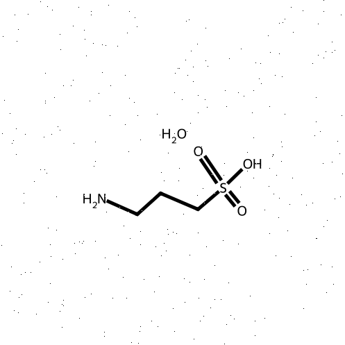 NCCCS(=O)(=O)O.O